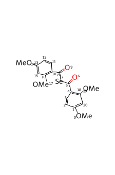 COc1ccc(C(=O)[Se]C(=O)c2ccc(OC)cc2OC)c(OC)c1